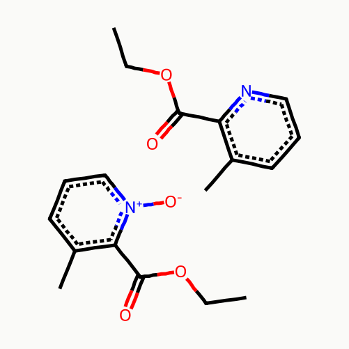 CCOC(=O)c1c(C)ccc[n+]1[O-].CCOC(=O)c1ncccc1C